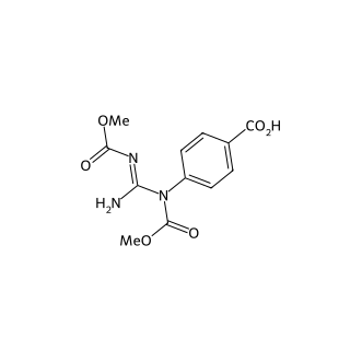 COC(=O)N=C(N)N(C(=O)OC)c1ccc(C(=O)O)cc1